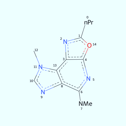 CCCc1nc2c(nc(NC)c3ncn(C)c32)o1